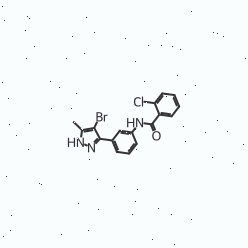 Cc1[nH]nc(-c2cccc(NC(=O)c3ccccc3Cl)c2)c1Br